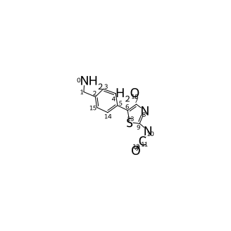 NCc1ccc(-c2cnc(N=C=O)s2)cc1.O